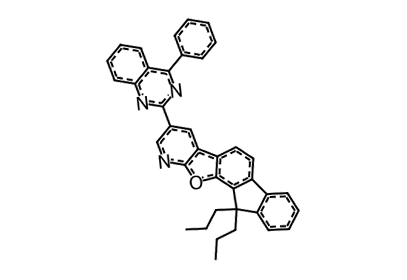 CCCC1(CCC)c2ccccc2-c2ccc3c(oc4ncc(-c5nc(-c6ccccc6)c6ccccc6n5)cc43)c21